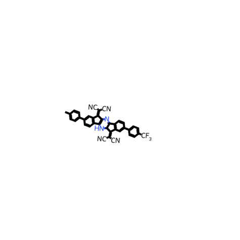 Cc1ccc(-c2ccc3c(c2)C(=C(C#N)C#N)C2=C3NC3C(=N2)c2ccc(-c4ccc(C(F)(F)F)cc4)cc2C3=C(C#N)C#N)cc1